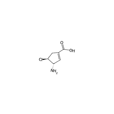 N[C@H]1C=C(C(=O)O)C[C@@H]1Cl